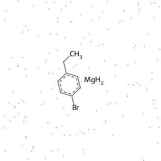 CCc1ccc(Br)cc1.[MgH2]